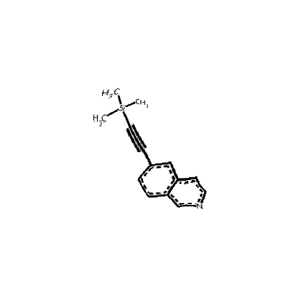 C[Si](C)(C)C#Cc1ccc2cnccc2c1